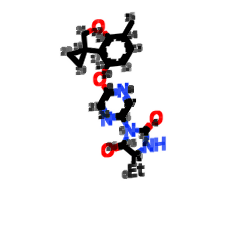 CC[C@@H]1NC(=O)N(c2cnc(Oc3ccc(C)c4c3C3(CC3)CO4)cn2)C1=O